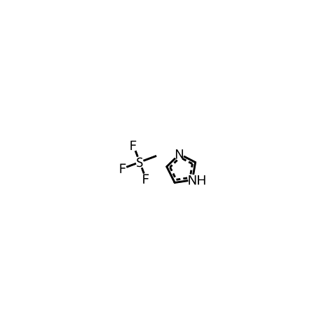 CS(F)(F)F.c1c[nH]cn1